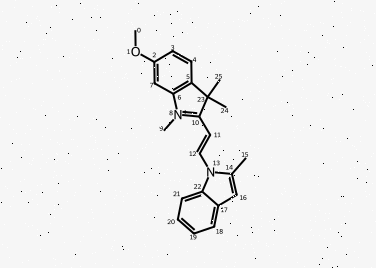 COc1ccc2c(c1)[N+](C)=C(C=Cn1c(C)cc3ccccc31)C2(C)C